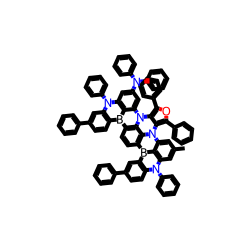 Cc1cc2c3c(c1)N1c4c(ccc5c4N(c4cc(N(c6ccccc6)c6ccccc6)cc6c4B5c4ccc(-c5ccccc5)cc4N6c4ccccc4)c4c(-c5ccccc5)oc(-c5ccccc5)c41)B3c1cc(-c3ccccc3)ccc1N2c1ccccc1